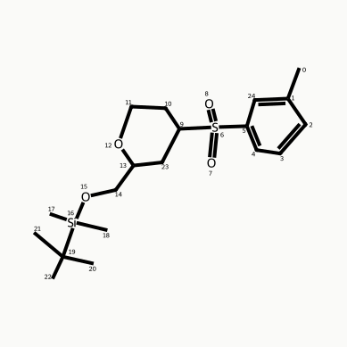 Cc1cccc(S(=O)(=O)C2CCOC(CO[Si](C)(C)C(C)(C)C)C2)c1